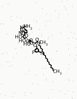 CCCCCCCCCCCCCCCCCCN(C)C(=O)[C@H](COP(=O)(O)OC[C@H]1O[C@@](C#N)(c2ccc3c(N)ncnn23)[C@H](O)[C@@H]1O)OCc1cc(F)cc(C#N)c1